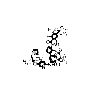 CC(=O)OCc1c(-c2cc(Nc3ccc(OC(C)(C)CN4CCC4)cn3)c(=O)n(C)n2)cccc1N1NCc2cc(C(C)(C)C)cc(F)c2C1=O